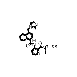 CCCCCCNC(=O)c1ncccc1NC(=O)c1ccc(Cn2ccnn2)c2ccccc12